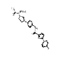 CC(=O)N(C)C1CCN(c2ccc(NC(=O)c3ccc(-c4ccc(F)cc4)o3)cc2)C1